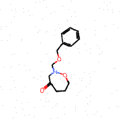 O=C1CCCON(COCc2ccccc2)C1